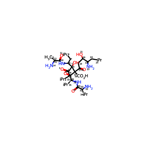 CC(C)CC(=O)C(O)(C(CC(C)C)NC(=O)[C@H](C)N)C(C(=O)O)(C(=O)CC(O)C(N)CC(C)C)C(=O)[C@@H](NC(=O)[C@@H](N)C(C)C)C(C)C